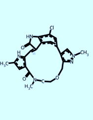 Cc1cc2c([nH]1)/C=C1\C(=O)Nc3c(Cl)cc(cc31)-c1cn(C)nc1COCCN(C)C2=O